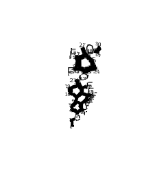 CCOc1ccc2c(c1F)C(F)(F)C(F)(F)c1c-2ccc(COC2=CCC(C)(OCC)C(F)=C2F)c1F